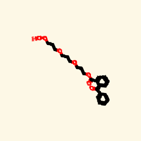 O=C(OCCCOCCCOCCCOO)c1ccccc1C(=O)c1ccccc1